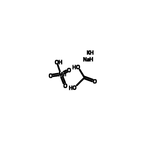 O=C(O)O.[KH].[NaH].[O]=[Mn](=[O])(=[O])[OH]